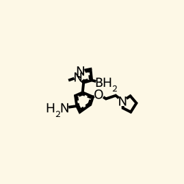 Bc1cnn(C)c1-c1cc(N)ccc1OCCN1CCCC1